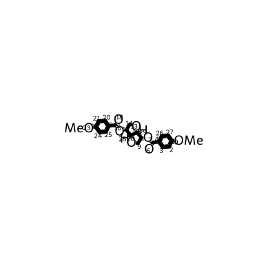 COc1ccc(C(=O)O[C@@H]2CO[C@H]3[C@@H]2OC[C@H]3OC(=O)c2ccc(OC)cc2)cc1